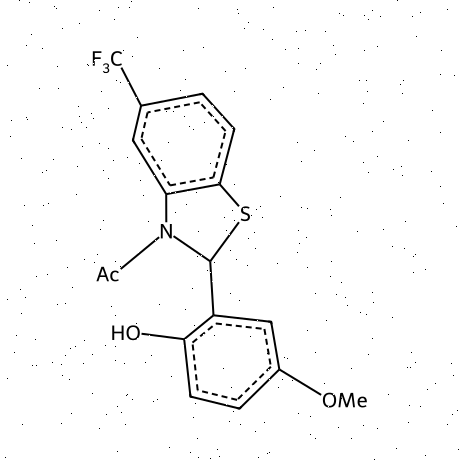 COc1ccc(O)c(C2Sc3ccc(C(F)(F)F)cc3N2C(C)=O)c1